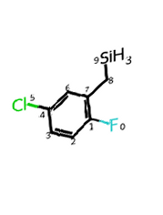 Fc1ccc(Cl)cc1C[SiH3]